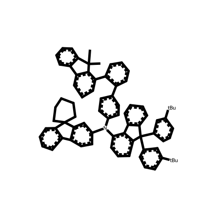 CC(C)(C)c1cccc(C2(c3cccc(C(C)(C)C)c3)c3ccccc3-c3c(N(c4ccc(-c5ccccc5-c5cccc6c5C(C)(C)c5ccccc5-6)cc4)c4ccc5c(c4)C4(CCCCC4)c4ccccc4-5)cccc32)c1